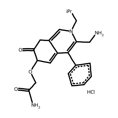 CC(C)CN1C=C2CC(=O)C(OCC(N)=O)C=C2C(c2ccccc2)=C1CN.Cl